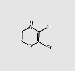 CCC1=C(C(C)C)OCCN1